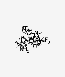 Cc1nc(-c2ccc(OC(F)(F)F)cc2)c(-c2cc(-c3cccc(C4(C(N)=O)CC4)c3)ccc2-n2nc(C(F)(F)F)cc2Cl)o1